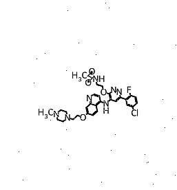 CN1CCN(CCOc2ccc3c(Nc4cc(-c5cc(Cl)ccc5F)nnc4OCCNS(C)(=O)=O)ccnc3c2)CC1